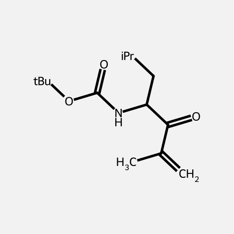 C=C(C)C(=O)C(CC(C)C)NC(=O)OC(C)(C)C